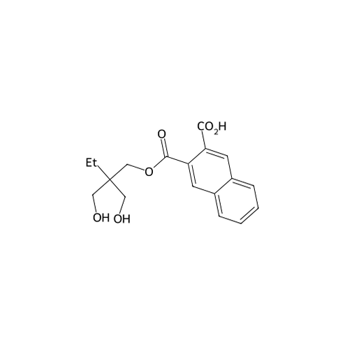 CCC(CO)(CO)COC(=O)c1cc2ccccc2cc1C(=O)O